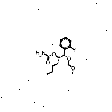 CCCC[C@H](OC(N)=O)[C@@H](OCOC)c1ccccc1I